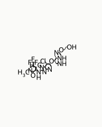 Cn1cc(C(F)(F)F)cc(Nc2nc3ncc(O/C(C=N)=C4\C=NC(OCCO)=CN4)c(Cl)c3n2C)c1=O